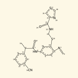 C=Nc1ccc(NC(=O)C(C)c2cccc(C#N)c2)cc1SCNC(=O)c1cscn1